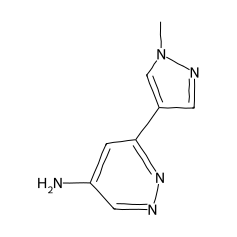 Cn1cc(-c2cc(N)cnn2)cn1